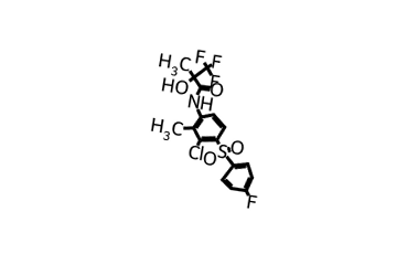 Cc1c(NC(=O)C(C)(O)C(F)(F)F)ccc(S(=O)(=O)c2ccc(F)cc2)c1Cl